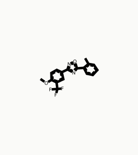 COc1ccc(-c2noc(-c3ccccc3C)n2)cc1C(F)(F)F